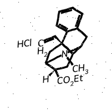 C=C[C@]12CC3[C@@H](C(=O)OCC)CC1C(Cc1ccccc12)N3C.Cl